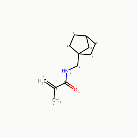 C=C(C)C(=O)NCC12CCC(CC1)C2